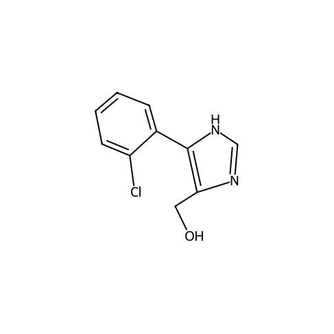 OCc1nc[nH]c1-c1ccccc1Cl